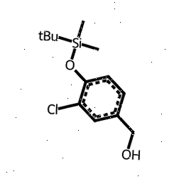 CC(C)(C)[Si](C)(C)Oc1ccc(CO)cc1Cl